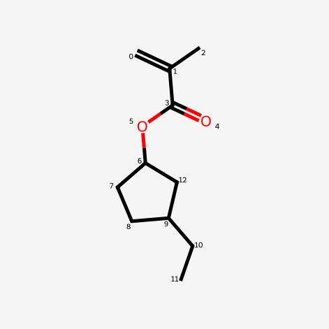 C=C(C)C(=O)OC1CCC(CC)C1